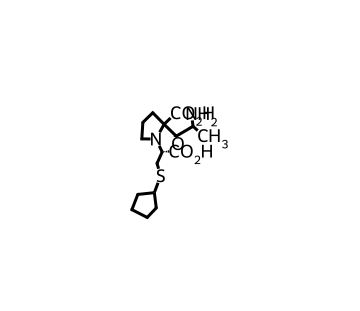 CC(N)C(=O)C1(C(=O)O)CCCN1[C@@H](CSC1CCCC1)C(=O)O